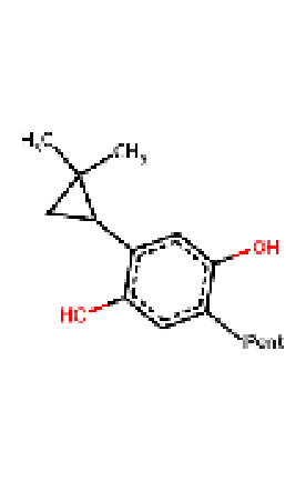 CCCC(C)c1cc(O)c(C2CC2(C)C)cc1O